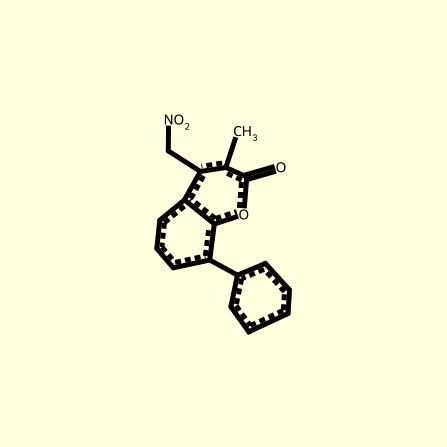 Cc1c(C[N+](=O)[O-])c2cccc(-c3ccccc3)c2oc1=O